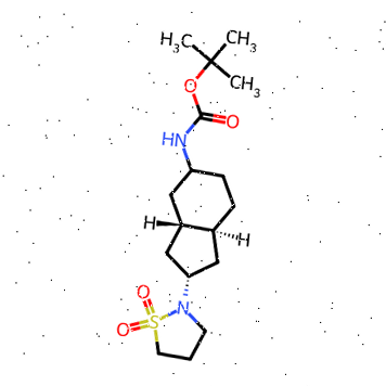 CC(C)(C)OC(=O)NC1CC[C@H]2C[C@H](N3CCCS3(=O)=O)C[C@@H]2C1